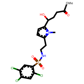 COC(=O)CCC(O)c1ccc(CCNS(=O)(=O)c2cc(Cl)c(Cl)cc2Cl)n1C